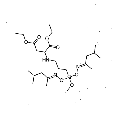 CCOC(=O)CC(NCCC[Si](OC)(O/N=C(\C)CC(C)C)O/N=C(\C)CC(C)C)C(=O)OCC